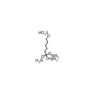 O=S(=O)(O)OCCCCCC(O[SiH3])(O[SiH3])O[SiH3]